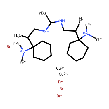 CCCCC(NCC(C)C1([15N](CCC)CCC)CCCCC1)NCC(C)C1([15N](CCC)CCC)CCCCC1.[Br-].[Br-].[Br-].[Br-].[Cu+2].[Cu+2]